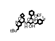 CC(C)(C)Cc1cnc2c(c1)[C@@H](NC[C@@H](O)[C@H](Cc1ccc(F)cc1)NC(=O)c1ccccc1OC(F)(F)F)CC1(CCC1)O2